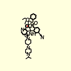 CCOc1ccccc1S(=O)(=O)N1C(=O)C(NC(=O)N2CCC(N3CCN(C(C)C)CC3)CC2)(c2cccnc2OCC)c2cc(C#N)ccc21